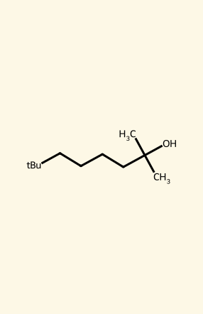 CC(C)(C)CCCCC(C)(C)O